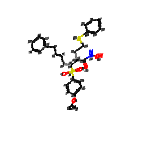 COc1ccc(S(=O)(=O)[C@H](CCCCc2ccccc2)[C@H](CCSc2ccccc2)C(=O)NO)cc1